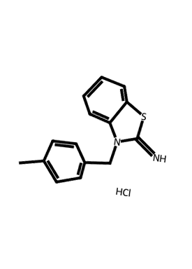 Cc1ccc(Cn2c(=N)sc3ccccc32)cc1.Cl